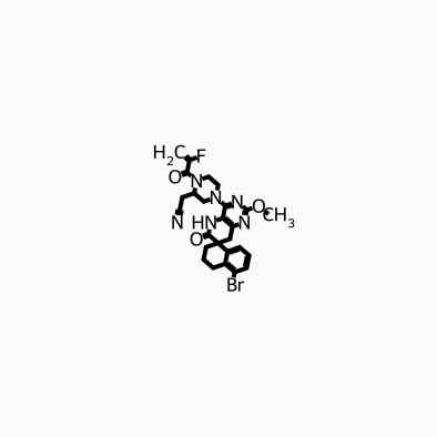 C=C(F)C(=O)N1CCN(c2nc(OC)nc3c2NC(=O)C2(CCCc4c(Br)cccc42)C3)CC1CC#N